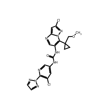 COCC1(c2c(NC(=O)Nc3cnc(-n4nccn4)c(Cl)c3)cnc3cc(Cl)nn23)CC1